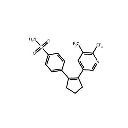 NS(=O)(=O)c1ccc(C2=C(c3cnc(C(F)(F)F)c(C(F)(F)F)c3)CCC2)cc1